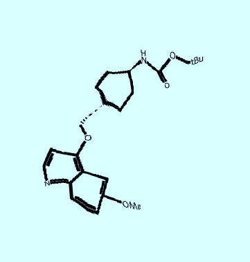 COc1ccc2nccc(OC[C@H]3CC[C@H](NC(=O)OC(C)(C)C)CC3)c2c1